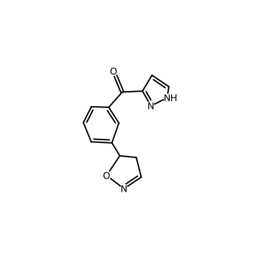 O=C(c1cccc(C2CC=NO2)c1)c1cc[nH]n1